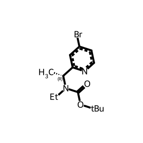 CCN(C(=O)OC(C)(C)C)[C@H](C)c1cc(Br)ccn1